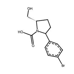 O=C(O)N1C(c2ccc(Br)cc2)CC[C@H]1CO